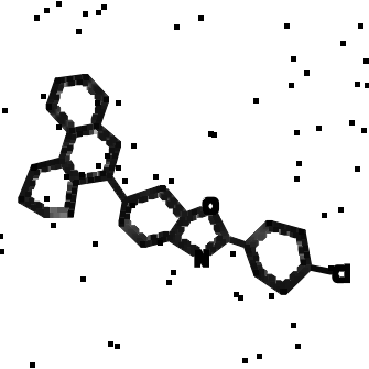 Clc1ccc(-c2nc3ccc(-c4cc5ccccc5c5ccccc45)cc3o2)cc1